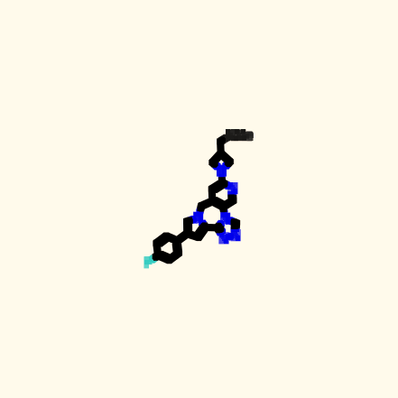 CNCC1CN(c2cc3c(cn2)-n2cnnc2-c2cc(-c4ccc(F)cc4)cn2C3)C1